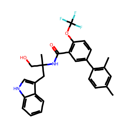 Cc1ccc(-c2ccc(OC(F)(F)F)c(C(=O)NC(C)(CO)Cc3c[nH]c4ccccc34)c2)c(C)c1